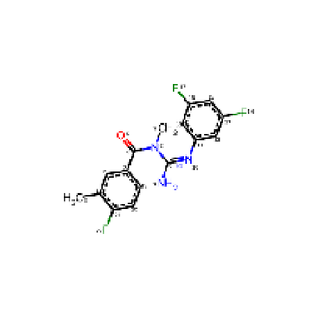 Cc1cc(C(=O)N(C)/C(N)=N\c2cc(F)cc(F)c2)ccc1F